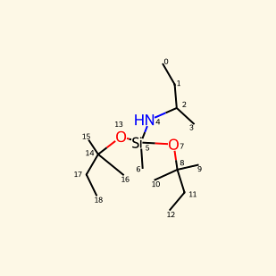 CCC(C)N[Si](C)(OC(C)(C)CC)OC(C)(C)CC